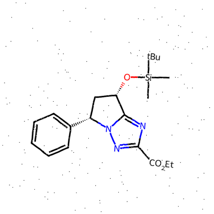 CCOC(=O)c1nc2n(n1)[C@H](c1ccccc1)C[C@@H]2O[Si](C)(C)C(C)(C)C